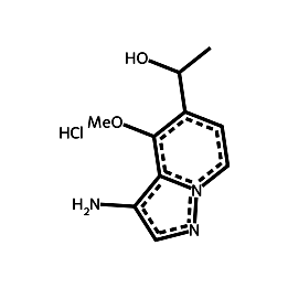 COc1c(C(C)O)ccn2ncc(N)c12.Cl